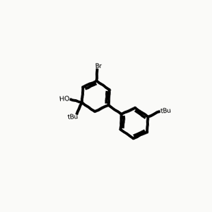 CC(C)(C)c1cccc(C2=CC(Br)=CC(O)(C(C)(C)C)C2)c1